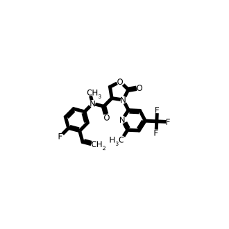 C=Cc1cc(N(C)C(=O)C2COC(=O)N2c2cc(C(F)(F)F)cc(C)n2)ccc1F